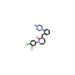 CN1CCN(c2ccccc2/C=C2\C=CC=CN(c3ccc(Cl)c(Cl)c3)C2=O)CC1